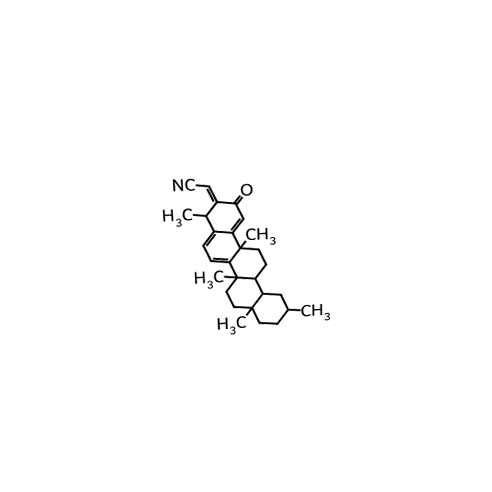 CC1CCC2(C)CCC3(C)C4=CC=C5C(=CC(=O)/C(=C/C#N)C5C)C4(C)CCC3C2C1